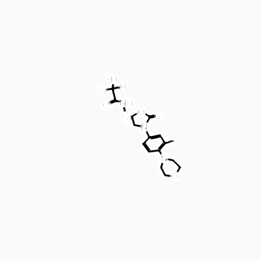 [2H]C([2H])([2H])C(=O)NC[C@H]1CN(c2ccc(N3CCOCC3)c(F)c2)C(=O)O1